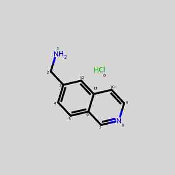 Cl.NCc1ccc2cnccc2c1